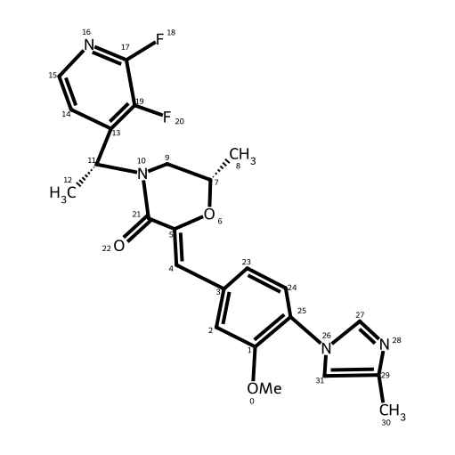 COc1cc(/C=C2\O[C@@H](C)CN([C@H](C)c3ccnc(F)c3F)C2=O)ccc1-n1cnc(C)c1